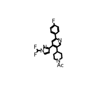 CC(=O)N1CCC(c2cnc(-c3ccc(F)cc3)cc2-c2ccn(C(F)F)n2)CC1